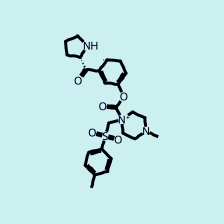 Cc1ccc(S(=O)(=O)C[N+]2(C(=O)OC3=CC[CH]C(C(=O)[C@@H]4CCCN4)=C3)CCN(C)CC2)cc1